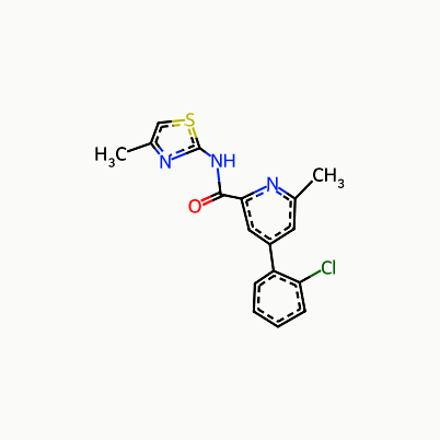 Cc1cc(-c2ccccc2Cl)cc(C(=O)Nc2nc(C)cs2)n1